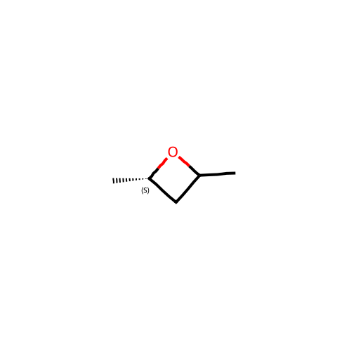 CC1C[C@H](C)O1